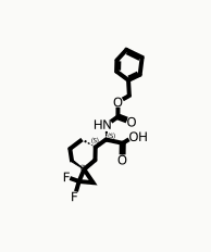 O=C(N[C@H](C(=O)O)[C@H]1CCC[C@@]2(C1)CC2(F)F)OCc1ccccc1